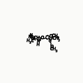 COCCCN1CC(C)(C)Oc2ccc(CO[C@@H]3CC[C@@H](CC(C)(C)n4cnnc4)NC3)cc21